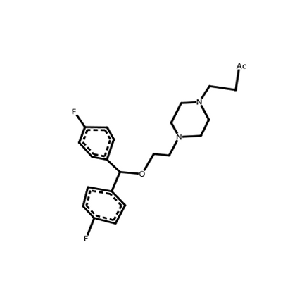 CC(=O)CCN1CCN(CCOC(c2ccc(F)cc2)c2ccc(F)cc2)CC1